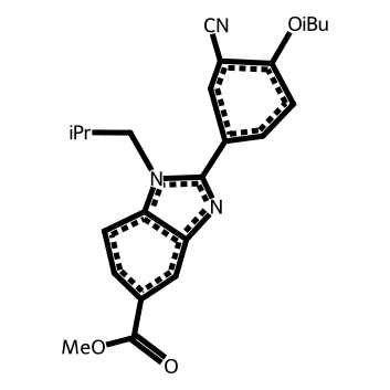 COC(=O)c1ccc2c(c1)nc(-c1ccc(OCC(C)C)c(C#N)c1)n2CC(C)C